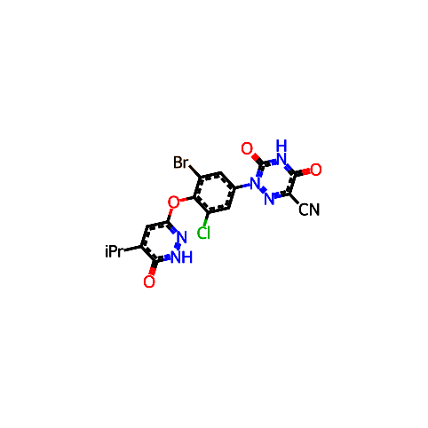 CC(C)c1cc(Oc2c(Cl)cc(-n3nc(C#N)c(=O)[nH]c3=O)cc2Br)n[nH]c1=O